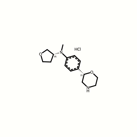 CN(c1ccc([C@H]2CNCCO2)cc1)[C@@H]1CCOC1.Cl